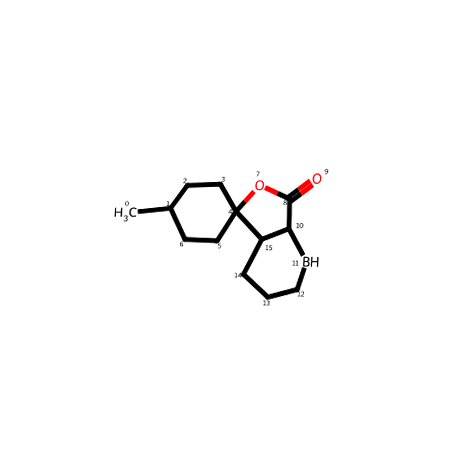 CC1CCC2(CC1)OC(=O)C1BCCCC12